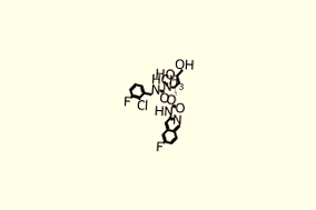 CN(C(=O)NCc1cccc(F)c1Cl)[C@@H](COC(=O)Nc1cc2cc(F)ccc2cn1)C[C@H](O)CO